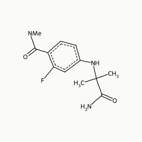 CNC(=O)c1ccc(NC(C)(C)C(N)=O)cc1F